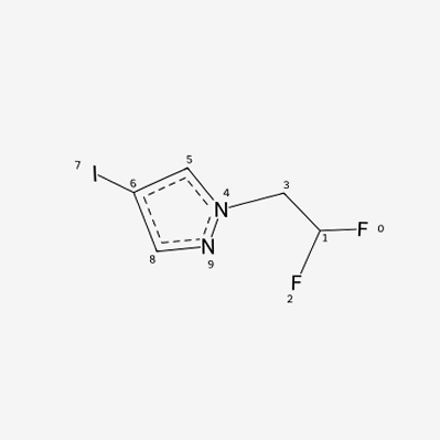 FC(F)Cn1cc(I)cn1